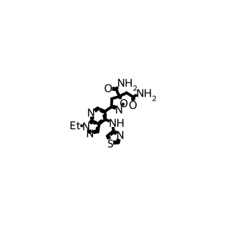 CCn1ncc2c(Nc3cscn3)c(C3=NOC(CC(N)=O)(C(N)=O)C3)cnc21